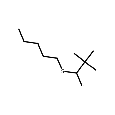 [CH2]C(SCCCCC)C(C)(C)C